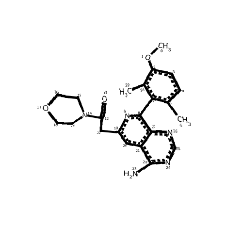 COc1ccc(C)c(-c2nc(CC(=O)N3CCOCC3)cc3c(N)ncnc23)c1C